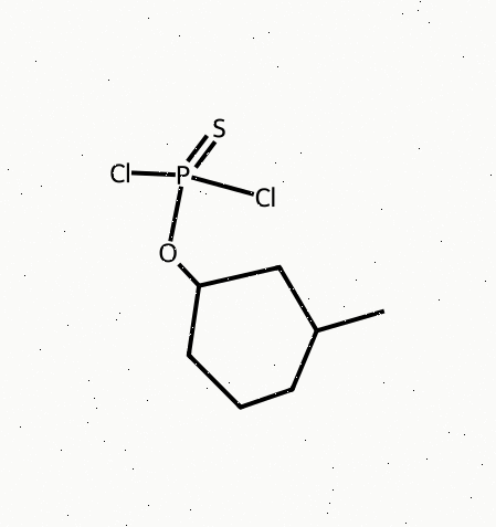 CC1CCCC(OP(=S)(Cl)Cl)C1